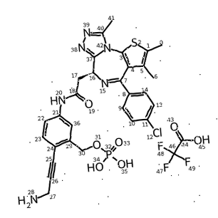 Cc1sc2c(c1C)C(c1ccc(Cl)cc1)=N[C@@H](CC(=O)Nc1ccc(C#CCN)c(COP(=O)(O)O)c1)c1nnc(C)n1-2.O=C(O)C(F)(F)F